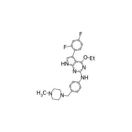 CCOc1nc(Nc2ccc(CN3CCN(C)CC3)cc2)nc2[nH]cc(-c3ccc(F)cc3F)c12